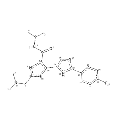 CC(C)NC(=O)c1nc(CN(C)C)sc1-c1cnc(-c2ccc(F)cc2)[nH]1